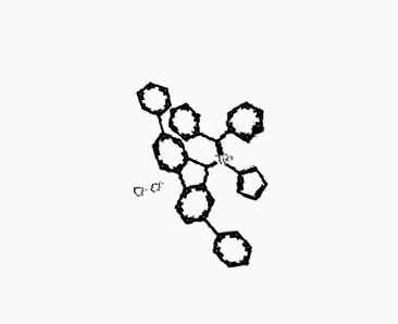 C1=CC[C]([Ti+2](=[C](c2ccccc2)c2ccccc2)[CH]2c3cc(-c4ccccc4)ccc3-c3ccc(-c4ccccc4)cc32)=C1.[Cl-].[Cl-]